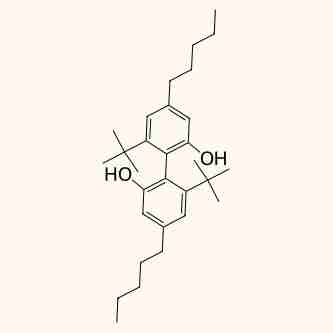 CCCCCc1cc(O)c(-c2c(O)cc(CCCCC)cc2C(C)(C)C)c(C(C)(C)C)c1